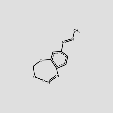 CN=Nc1ccc2c(c1)OCOCN=N2